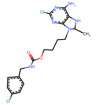 CC1Nc2c(N)nc(Cl)nc2N1CCCCOC(=O)NCc1ccc(Cl)cc1